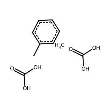 C.Cc1ccccc1.O=C(O)O.O=C(O)O